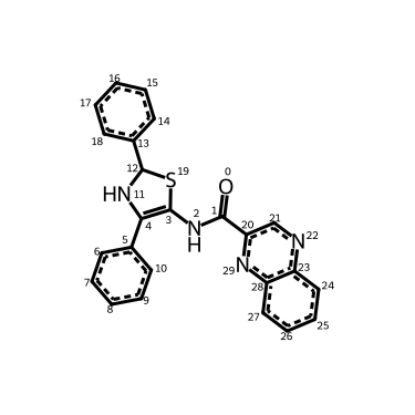 O=C(NC1=C(c2ccccc2)NC(c2ccccc2)S1)c1cnc2ccccc2n1